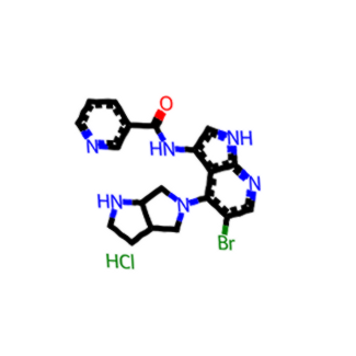 Cl.O=C(Nc1c[nH]c2ncc(Br)c(N3CC4CCNC4C3)c12)c1cccnc1